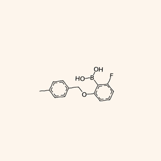 Cc1ccc(COc2cccc(F)c2B(O)O)cc1